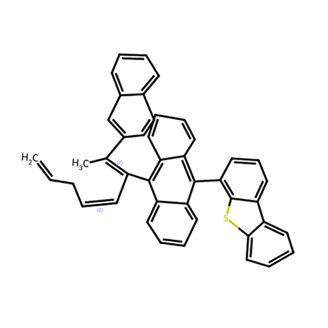 C=CC/C=C\C(=C(/C)c1ccc2ccccc2c1)c1c2ccccc2c(-c2cccc3c2sc2ccccc23)c2ccccc12